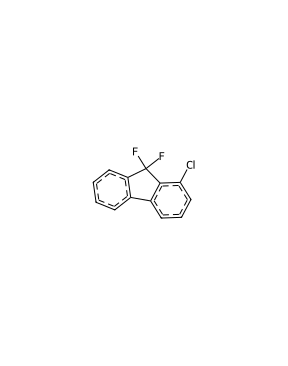 FC1(F)c2ccccc2-c2cccc(Cl)c21